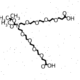 CC(C)(C)OC(=O)N(CCOCCOCCOCCOCCC(=O)O)CCOCCOCCOCCOCCC(=O)O